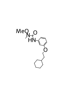 CON(C)C(=O)Nc1cccc(OCCC2CCCCC2)c1